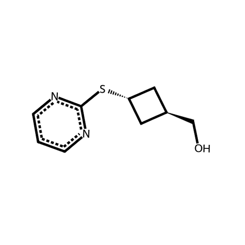 OC[C@H]1C[C@H](Sc2ncccn2)C1